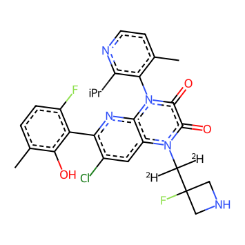 [2H]C([2H])(n1c(=O)c(=O)n(-c2c(C)ccnc2C(C)C)c2nc(-c3c(F)ccc(C)c3O)c(Cl)cc21)C1(F)CNC1